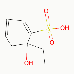 CCC1(O)CC=CC=C1S(=O)(=O)O